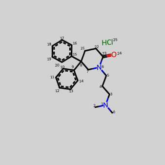 CN(C)CCCN1CC(c2ccccc2)(c2ccccc2)CCC1=O.Cl